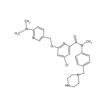 CN(C)c1ccc(COc2cc(Cl)cc(C(=O)N(C)c3ccc(CN4CCNCC4)cc3)n2)cn1